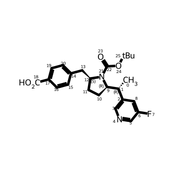 C[C@H](c1cncc(F)c1)[C@H]1CC[C@@H](Cc2ccc(C(=O)O)cc2)N1C(=O)OC(C)(C)C